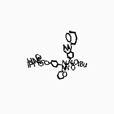 CC(C)NS(=O)(=O)COc1ccc(-c2nc(N(C(=O)OC(C)(C)C)c3ccc4c(cnn4C4CCCCO4)c3)nn2C2CCCCO2)cc1